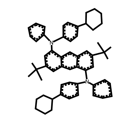 CC(C)(C)c1cc(N(c2ccccc2)c2ccc(C3CCCCC3)cc2)c2cc3cc(C(C)(C)C)cc(N(c4ccccc4)c4ccc(C5CCCCC5)cc4)c3cc2c1